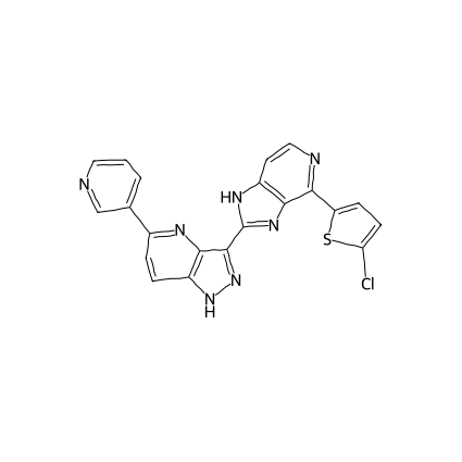 Clc1ccc(-c2nccc3[nH]c(-c4n[nH]c5ccc(-c6cccnc6)nc45)nc23)s1